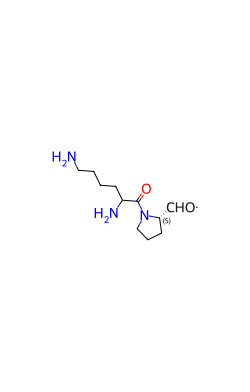 NCCCCC(N)C(=O)N1CCC[C@H]1[C]=O